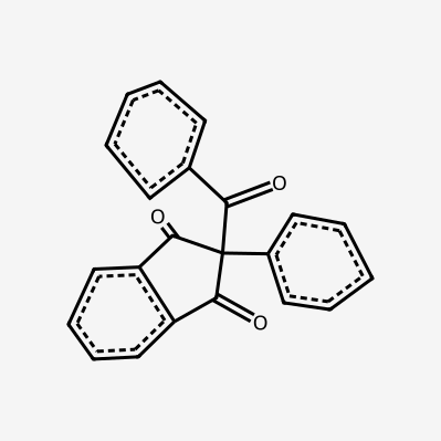 O=C(c1ccccc1)C1(c2ccccc2)C(=O)c2ccccc2C1=O